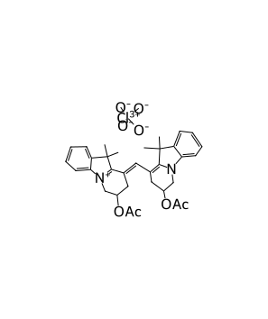 CC(=O)OC1CC(C=C2CC(OC(C)=O)C[N+]3=C2C(C)(C)c2ccccc23)=C2N(C1)c1ccccc1C2(C)C.[O-][Cl+3]([O-])([O-])[O-]